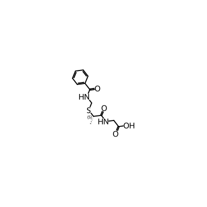 C[C@H](SCNC(=O)c1ccccc1)C(=O)NCC(=O)O